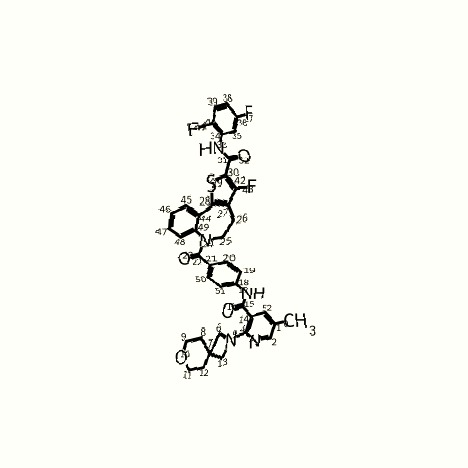 Cc1cnc(N2CC3(CCOCC3)C2)c(C(=O)Nc2ccc(C(=O)N3CCc4c(sc(C(=O)Nc5cc(F)ccc5F)c4F)-c4ccccc43)cc2)c1